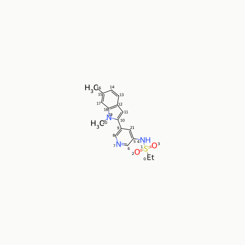 CCS(=O)(=O)Nc1cncc(-c2cc3ccc(C)cc3n2C)c1